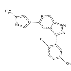 Cc1ccc(F)c(-c2n[nH]c3cnc(-c4cnn(C)c4)cc23)c1